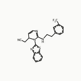 N#CCC1C=CN=C(NCCc2cccc(C(F)(F)F)c2)N1c1nc2ccccc2s1